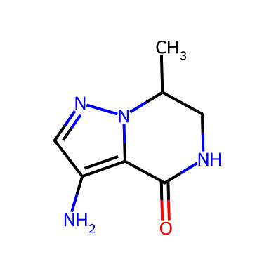 CC1CNC(=O)c2c(N)cnn21